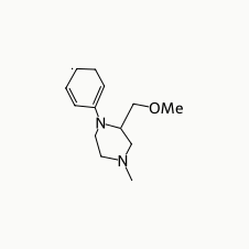 COCC1CN(C)CCN1C1=CC[CH]C=C1